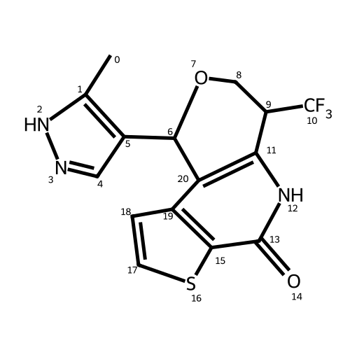 Cc1[nH]ncc1C1OCC(C(F)(F)F)c2[nH]c(=O)c3sccc3c21